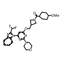 COC1CCC(C(=O)N2CC(COc3cc(-n4c(C(F)F)nc5ccccc54)nc(N4CCOCC4)n3)C2)CC1